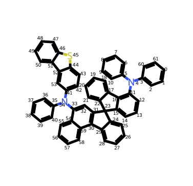 c1ccc(N(c2ccccc2)c2cccc3c2-c2ccccc2C32c3ccccc3-c3c2cc(N(c2ccccc2)c2ccc4sc5ccccc5c4c2)c2ccccc32)cc1